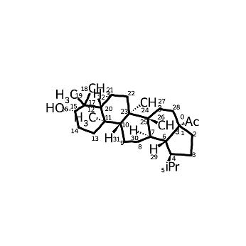 CC(=O)[C@]12CC[C@@H](C(C)C)[C@@H]1[C@H]1CC[C@@H]3[C@@]4(C)CC[C@H](O)C(C)(C)[C@@H]4CC[C@@]3(C)[C@]1(C)CC2